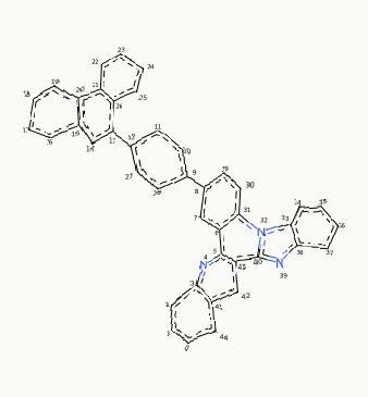 c1ccc2nc3c4cc(-c5ccc(-c6cc7ccccc7c7ccccc67)cc5)ccc4n4c5ccccc5nc4c3cc2c1